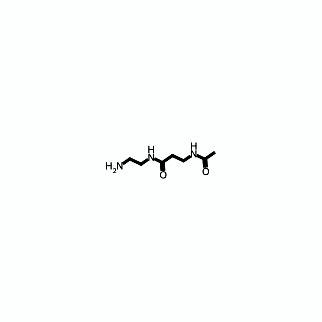 CC(=O)NCCC(=O)NCCN